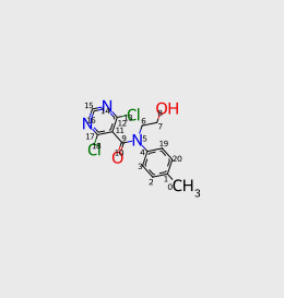 Cc1ccc(N(CCO)C(=O)c2c(Cl)ncnc2Cl)cc1